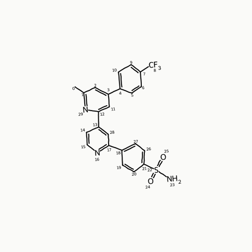 Cc1cc(-c2ccc(C(F)(F)F)cc2)cc(-c2ccnc(-c3ccc(S(N)(=O)=O)cc3)c2)n1